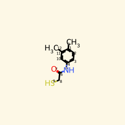 Cc1ccc(NC(=O)CS)cc1C